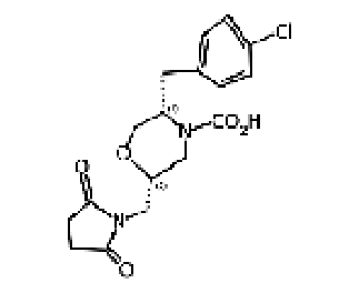 O=C1CCC(=O)N1C[C@H]1CN(C(=O)O)[C@@H](Cc2ccc(Cl)cc2)CO1